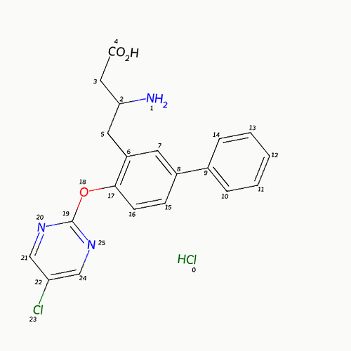 Cl.NC(CC(=O)O)Cc1cc(-c2ccccc2)ccc1Oc1ncc(Cl)cn1